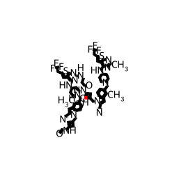 Cc1nc(NC2CCN(Cc3ccc4c(cc(C#N)n4CC45CC(NC(=O)CCNc6nc(NC7CCN(Cc8ccc9c(cc(C#N)n9CC9%10CC(NC=O)(C9)C%10)c8C)CC7)c7cc(CC(F)(F)F)sc7n6)(C4)[C@H]5C)c3C)CC2)c2cc(CC(F)(F)F)sc2n1